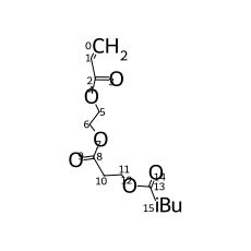 C=CC(=O)OCCOC(=O)CCOC(=O)C(C)CC